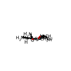 CC(C)CCC[C@@H](C)[C@H]1CC[C@H]2[C@@H]3CC=C4C[C@@H](SSCCC(=O)N(CCCN)CCCCNCCCN)CC[C@]4(C)C3CC[C@]12C